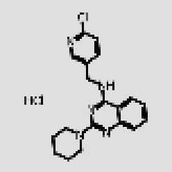 Cl.Clc1ccc(CNc2nc(N3CCCCC3)nc3ccccc23)cn1